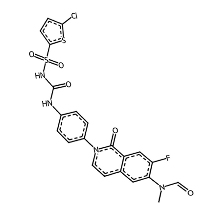 CN(C=O)c1cc2ccn(-c3ccc(NC(=O)NS(=O)(=O)c4ccc(Cl)s4)cc3)c(=O)c2cc1F